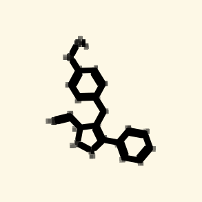 COc1ccc(CC2=C(c3ccccc3)SSC2C=S)cc1